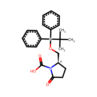 CC(C)(C)[Si](OC[C@H]1CCC(=O)N1C(=O)O)(c1ccccc1)c1ccccc1